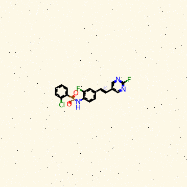 O=S(=O)(Nc1ccc(/C=C/c2cnc(F)nc2)cc1F)c1ccccc1Cl